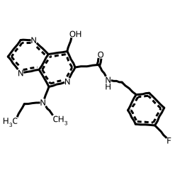 CCN(C)c1nc(C(=O)NCc2ccc(F)cc2)c(O)c2nccnc12